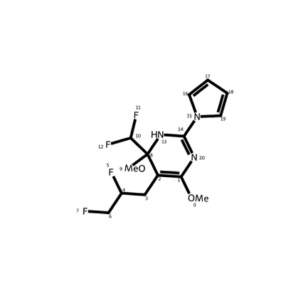 COC1=C(CC(F)CF)C(OC)(C(F)F)NC(n2cccc2)=N1